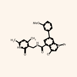 COc1cccc(-c2cc(C(=O)NCc3c(C)cc(C)[nH]c3=O)c3c(Cl)cn(C(C)C)c3c2)c1